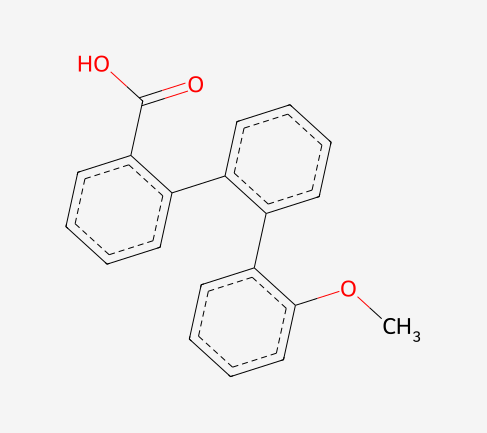 COc1ccccc1-c1ccccc1-c1ccccc1C(=O)O